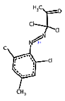 CC(=O)C(Cl)(Cl)/N=N/c1c(Cl)cc(C)cc1Cl